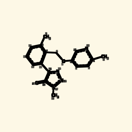 Cc1ccc(OCc2c(C)cccc2-n2nnn(C)c2=O)cn1